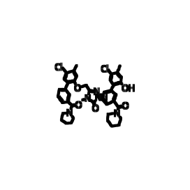 Cc1cc(O)c(-c2cccc(C(=O)N3CCCCC3)c2)cc1Cl.Cc1cc(OCc2n[nH]c(=O)n2C)c(-c2cccc(C(=O)N3CCCCC3)c2)cc1Cl